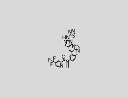 Cc1ccc(NC(=O)c2cc(C(F)(F)F)ccn2)cc1C1=Cc2cnc(Nc3nncs3)nc2N2CCN=C12